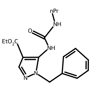 CCCNC(=O)Nc1c(C(=O)OCC)cnn1Cc1ccccc1